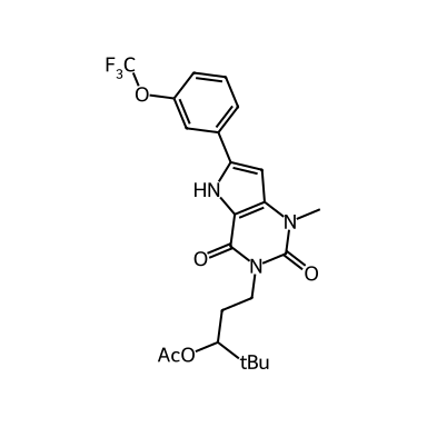 CC(=O)OC(CCn1c(=O)c2[nH]c(-c3cccc(OC(F)(F)F)c3)cc2n(C)c1=O)C(C)(C)C